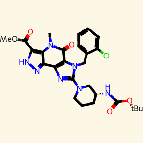 COC(=O)c1[nH]nc2c3nc(N4CCC[C@@H](NC(=O)OC(C)(C)C)C4)n(Cc4ccccc4Cl)c3c(=O)n(C)c12